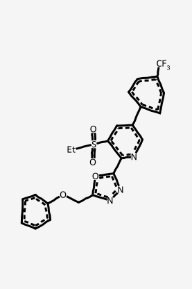 CCS(=O)(=O)c1cc(-c2ccc(C(F)(F)F)cc2)cnc1-c1nnc(COc2ccccc2)o1